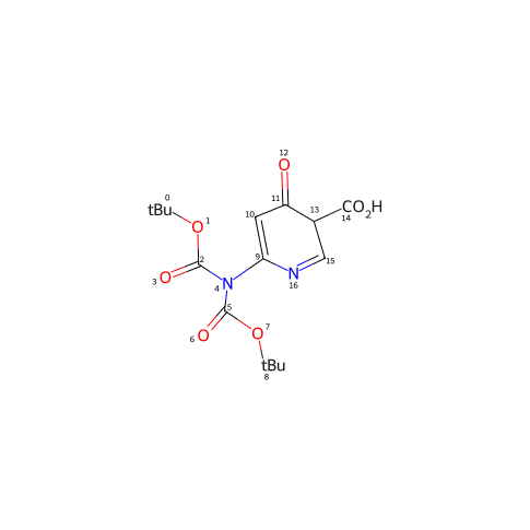 CC(C)(C)OC(=O)N(C(=O)OC(C)(C)C)C1=CC(=O)C(C(=O)O)C=N1